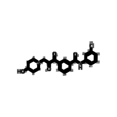 O=C(CN1CCC(O)CC1)C(=O)c1cccc(C(=O)Nc2cccc(Cl)c2)c1